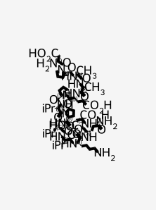 CC(C)C[C@H](NC(=O)[C@@H]1CCCN1C(=O)[C@@H](NC(=O)[C@@H]1CCCN1C(=O)[C@H](CCC(=O)O)NC(=O)[C@H](C)NC(=O)[C@H](C)NC(=O)[C@@H]1CCCN1C(=O)[C@@H](N)CC(=O)O)C(C)C)C(=O)N[C@H](C(=O)N[C@@H](CCCCN)C(=O)N[C@@H](CCC(N)=O)C(=O)N[C@@H](CC(=O)O)C(=O)O)C(C)C